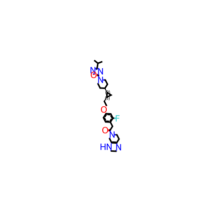 CC(C)c1noc(N2CCC([C@H]3C[C@H]3CCOc3ccc(CC(=O)N4CCC5=C(C4)NCC=N5)c(F)c3)CC2)n1